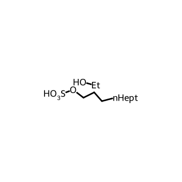 CCCCCCCCCCOS(=O)(=O)O.CCO